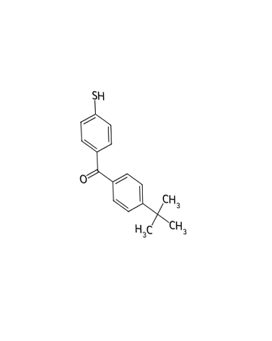 CC(C)(C)c1ccc(C(=O)c2ccc(S)cc2)cc1